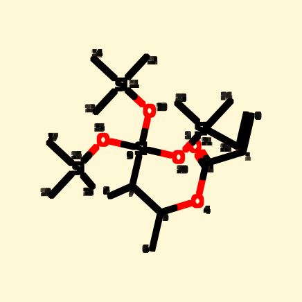 C=CC(=O)OC(C)C(C)[Si](O[Si](C)(C)C)(O[Si](C)(C)C)O[Si](C)(C)C